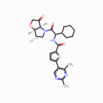 Cc1ncc(-c2ccc(C(=O)NC(C(=O)N3C[C@H](Cl)[C@H]4OCC(=O)[C@H]43)C3CCCCC3)s2)c(C)n1